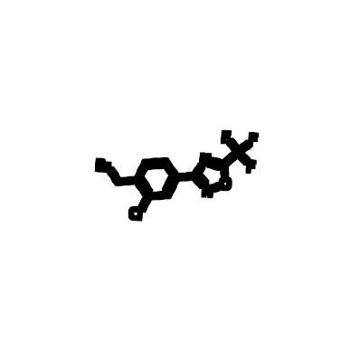 FC(F)(F)c1nc(-c2ccc(CBr)c(Cl)c2)no1